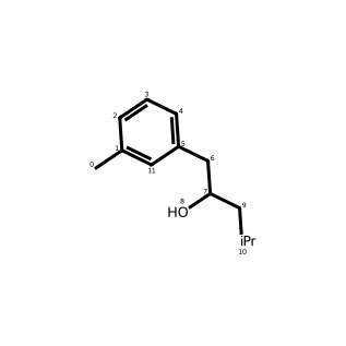 Cc1cccc(CC(O)CC(C)C)c1